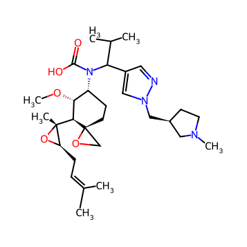 CO[C@@H]1[C@H](N(C(=O)O)C(c2cnn(C[C@H]3CCN(C)C3)c2)C(C)C)CC[C@]2(CO2)[C@H]1[C@@]1(C)O[C@@H]1CC=C(C)C